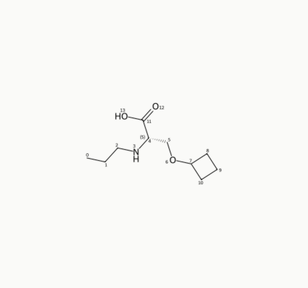 CCCN[C@@H](COC1CCC1)C(=O)O